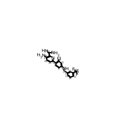 N=C(N)c1nc(-c2ccc(NSc3cccc(C(F)(F)F)c3)cc2Cl)ccc1N